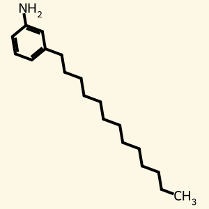 CCCCCCCCCCCCCc1cccc(N)c1